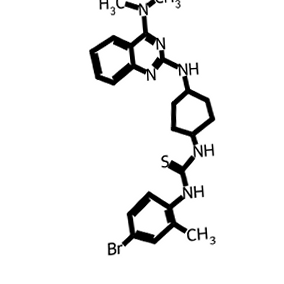 Cc1cc(Br)ccc1NC(=S)NC1CCC(Nc2nc(N(C)C)c3ccccc3n2)CC1